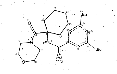 C=C(NC1(C(=O)N2CCOCC2)CCCCC1)c1cc(C(C)(C)C)nc(C(C)(C)C)c1